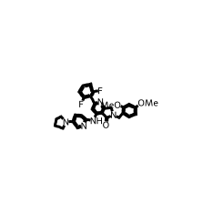 COc1ccc(CN2Cc3nc(-c4c(F)cccc4F)cc(Nc4ccc(N5CCCC5)cn4)c3C2=O)c(OC)c1